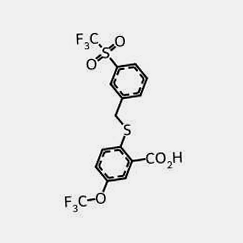 O=C(O)c1cc(OC(F)(F)F)ccc1SCc1cccc(S(=O)(=O)C(F)(F)F)c1